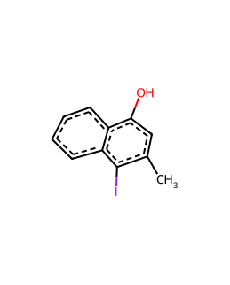 Cc1cc(O)c2ccccc2c1I